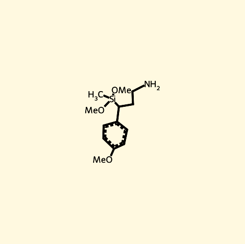 COc1ccc(C(CCN)[Si](C)(OC)OC)cc1